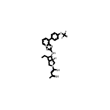 CCC1C2CN(/C(S)=C/C(C)=N)C[C@H]2[C@@H]1Nc1nc2c(-c3ccc(OC(F)(F)F)cc3)cccn2n1